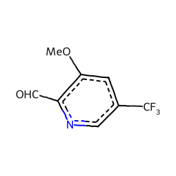 COc1cc(C(F)(F)F)cnc1C=O